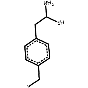 NC(S)Cc1ccc(CI)cc1